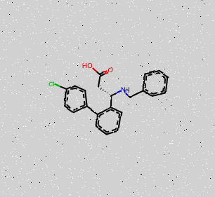 O=C(O)C[C@H](NCc1ccccc1)c1ccccc1-c1ccc(Cl)cc1